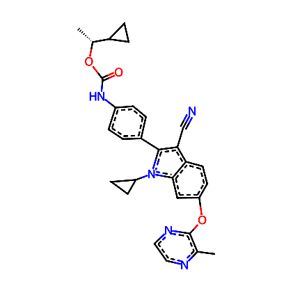 Cc1nccnc1Oc1ccc2c(C#N)c(-c3ccc(NC(=O)O[C@H](C)C4CC4)cc3)n(C3CC3)c2c1